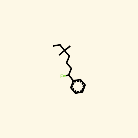 CCC(C)(C)[CH]CCC(F)c1ccccc1